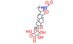 COC(=O)CNC(=O)[C@]12CCC(C)(C)CC1C1=CCC3[C@@]4(C)CC[C@@H]5[C@H]([C@@H]6OC(C(=O)O)[C@@H](O)C(O)C6O)O[C@@]5(C)C4CC[C@@]3(C)[C@]1(C)CC2